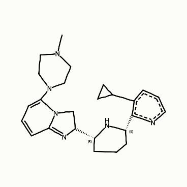 CN1CCN(C2=CC=CC3=NC([C@H]4CCC[C@@H](c5ncccc5C5CC5)N4)CN23)CC1